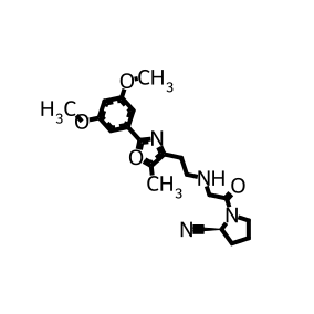 COc1cc(OC)cc(-c2nc(CCNCC(=O)N3CCC[C@H]3C#N)c(C)o2)c1